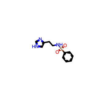 O=S(=O)(NCCc1c[nH]cn1)c1ccccc1